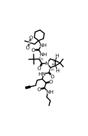 C#CCCC(NC(=O)[C@@H]1[C@@H]2[C@H](CN1C(=O)[C@@H](NC(=O)NC1(CS(C)(=O)=O)CCCCC1)C(C)(C)C)C2(C)C)C(=O)C(=O)NCCC